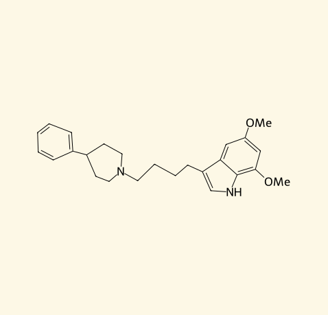 COc1cc(OC)c2[nH]cc(CCCCN3CCC(c4ccccc4)CC3)c2c1